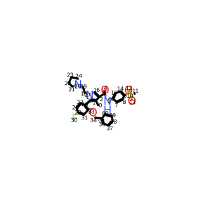 Cc1c(C(=O)Nc2ccc(S(C)(=O)=O)cc2)cn(CCN2CCCC2)c1-c1ccc(F)cc1OCc1ccccc1